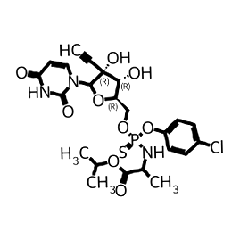 C#C[C@]1(O)C(n2ccc(=O)[nH]c2=O)O[C@H](COP(=S)(NC(C)C(=O)OC(C)C)Oc2ccc(Cl)cc2)[C@H]1O